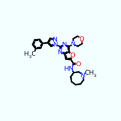 Cc1cccc(-c2cnn(-c3nc(N4CCOCC4)c4oc(C(=O)NC5CCCCCN(C)C5)cc4n3)c2)c1